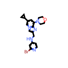 Brc1cc(NCc2cn3cc(C4CC4)cc(N4CCOCC4)c3n2)ccn1